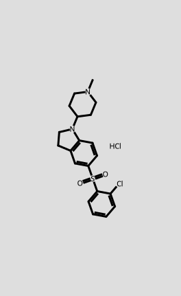 CN1CCC(N2CCc3cc(S(=O)(=O)c4ccccc4Cl)ccc32)CC1.Cl